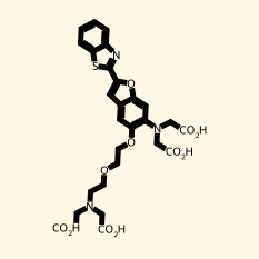 O=C(O)CN(CCOCCOc1cc2cc(-c3nc4ccccc4s3)oc2cc1N(CC(=O)O)CC(=O)O)CC(=O)O